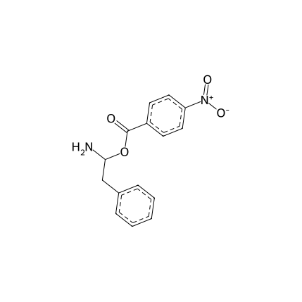 NC(Cc1ccccc1)OC(=O)c1ccc([N+](=O)[O-])cc1